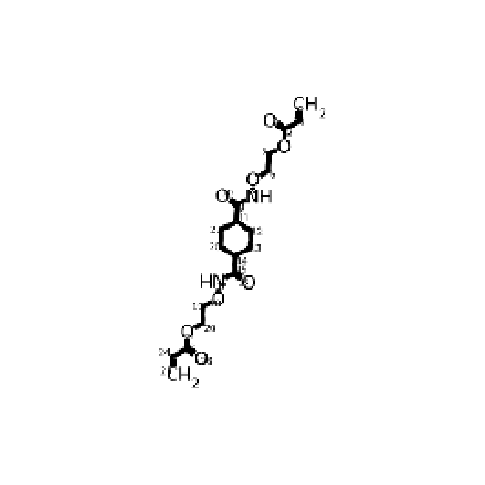 C=CC(=O)OCCONC(=O)C1CCC(C(=O)NOCCOC(=O)C=C)CC1